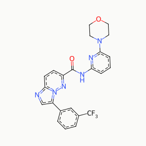 O=C(Nc1cccc(N2CCOCC2)n1)c1ccc2ncc(-c3cccc(C(F)(F)F)c3)n2n1